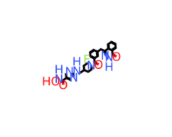 O=C(NO)c1cnc(NCC2CCN(C(=O)c3cc(Cc4n[nH]c(=O)c5ccccc45)ccc3F)CC2)nc1